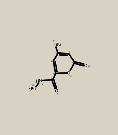 CC(C)(C)NC(=O)c1cc(C(C)(C)C)cc(=O)o1